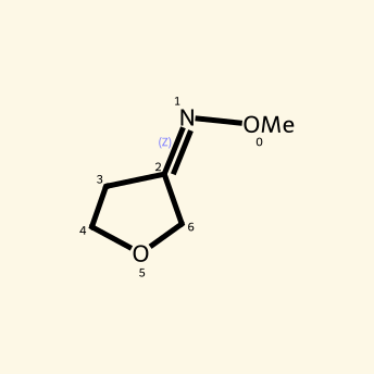 CO/N=C1/CCOC1